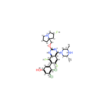 CC[C@@H]1CN(c2nc(OC[C@@]34CCCN3C[C@H](F)C4)nc3c(F)c(-c4cc(O)cc(Cl)c4Cl)c(F)cc23)C[C@@H](C)N1